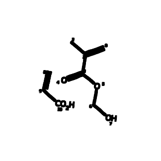 C=C(C)C(=O)OCO.C=CC(=O)O